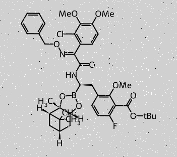 COc1ccc(/C(=N\OCc2ccccc2)C(=O)N[C@@H](Cc2ccc(F)c(C(=O)OC(C)(C)C)c2OC)B2O[C@@H]3C[C@@H]4C[C@@H](C4(C)C)[C@]3(C)O2)c(Cl)c1OC